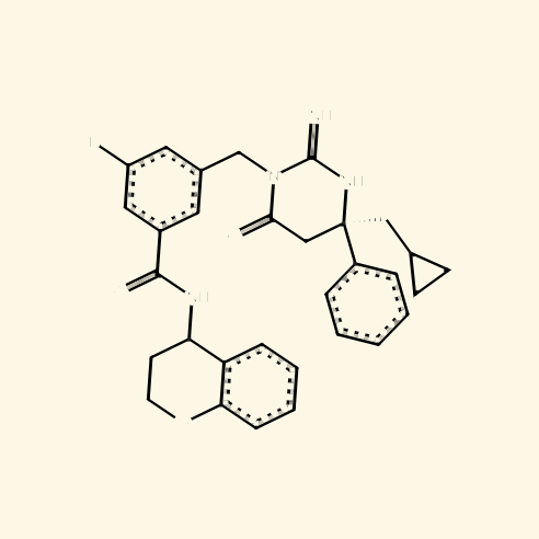 N=C1N[C@@](CC2CC2)(c2ccccc2)CC(=O)N1Cc1cc(F)cc(C(=O)NC2CCOc3ccccc32)c1